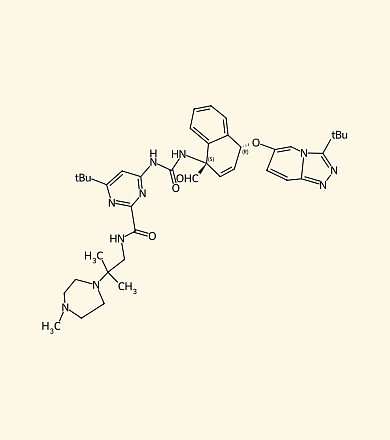 CN1CCN(C(C)(C)CNC(=O)c2nc(NC(=O)N[C@@]3(C=O)C=C[C@@H](Oc4ccc5nnc(C(C)(C)C)n5c4)c4ccccc43)cc(C(C)(C)C)n2)CC1